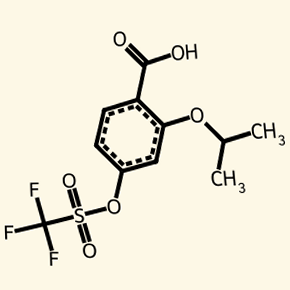 CC(C)Oc1cc(OS(=O)(=O)C(F)(F)F)ccc1C(=O)O